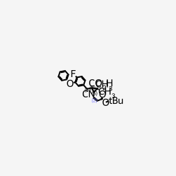 CC(C)(C)OC(=O)/C=C\[C@H]1C(C)(C)[C@]1(C(=O)O)[C@@H](C#N)c1ccc(F)c(Oc2ccccc2)c1